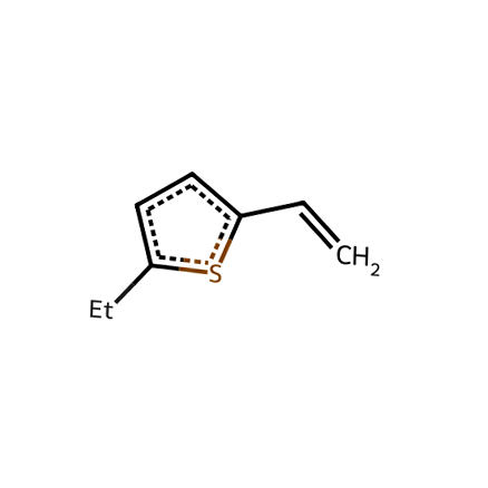 C=Cc1ccc(CC)s1